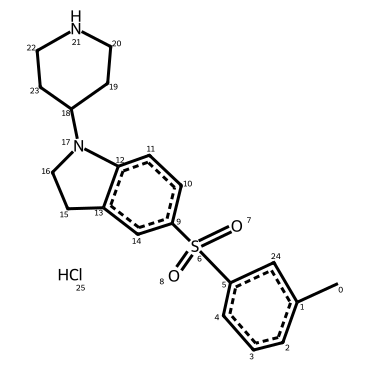 Cc1cccc(S(=O)(=O)c2ccc3c(c2)CCN3C2CCNCC2)c1.Cl